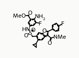 CNC(=O)c1c(-c2ccc(F)cc2)oc2cc(CS(=O)(=O)Nc3cc(F)c(N)c(C(=O)OC)c3)c(C3CC3)cc12